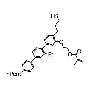 C=C(C)C(=O)OCCOc1cc(-c2ccc(-c3ccc(CCCCC)cc3)cc2CC)ccc1CCCS